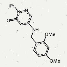 COc1ccc(CNc2cnn(C(C)C)c(=O)c2)c(OC)c1